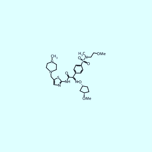 COCCN(C)S(=O)(=O)c1ccc(/C(=N\O[C@@H]2CC[C@@H](OC)C2)C(=O)Nc2ncc(CN3CCN(C)CC3)s2)cc1